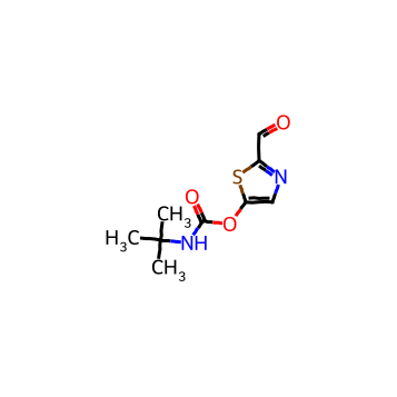 CC(C)(C)NC(=O)Oc1cnc(C=O)s1